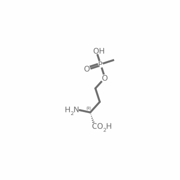 CP(=O)(O)OCC[C@@H](N)C(=O)O